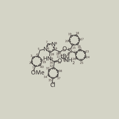 COc1ccc(Cn2cnc([C@@H](CN)O[Si](c3ccccc3)(c3ccccc3)C(C)(C)C)c2NC(=O)c2ccc(Cl)cc2)cc1